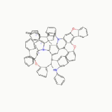 C=C/C=C\C(=C(\N1/C(C)=C/C(=C)Oc2ccccc2C(C)B(c2ccccc2Nc2ccccc2)c2cc3c(cc21)N(c1ccccc1)c1cc2oc4ccccc4c2c2c1B3c1ccccc1O2)C1(C)C=CC=C1c1ccccc1)c1cccc(-c2ccccc2)c1